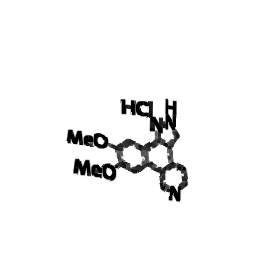 COc1cc2c3cnccc3c3c[nH]nc3c2cc1OC.Cl